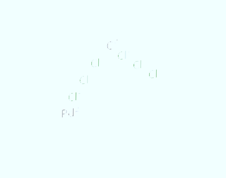 [C+4].[Cl-].[Cl-].[Cl-].[Cl-].[Cl-].[Cl-].[Pd+2]